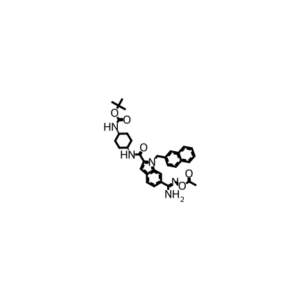 CC(=O)ON=C(N)c1ccc2cc(C(=O)N[C@H]3CC[C@H](NC(=O)OC(C)(C)C)CC3)n(Cc3ccc4ccccc4c3)c2c1